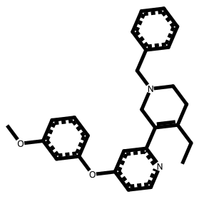 CCC1=C(c2cc(Oc3cccc(OC)c3)ccn2)CN(Cc2ccccc2)CC1